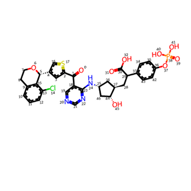 O=C(c1cc([C@H]2OCCc3cccc(Cl)c32)cs1)c1cncnc1N[C@@H]1C[C@@H](CC(C(=O)O)c2ccc(OP(=O)(O)O)cc2)[C@H](O)C1